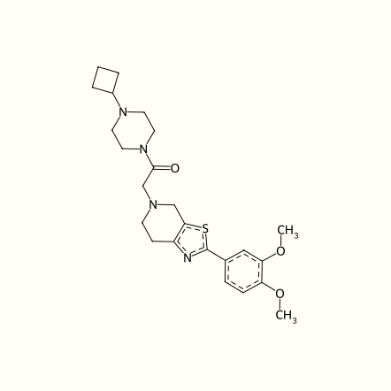 COc1ccc(-c2nc3c(s2)CN(CC(=O)N2CCN(C4CCC4)CC2)CC3)cc1OC